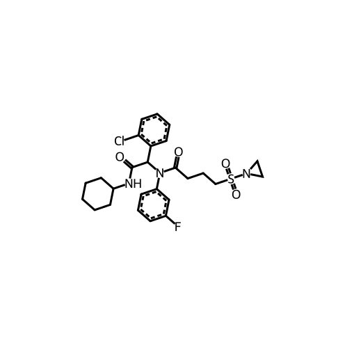 O=C(NC1CCCCC1)C(c1ccccc1Cl)N(C(=O)CCCS(=O)(=O)N1CC1)c1cccc(F)c1